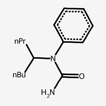 CCCCC(CCC)N(C(N)=O)c1ccccc1